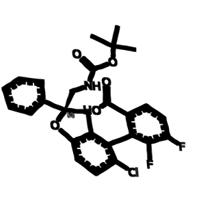 CC(C)(C)OC(=O)NC[C@@]1(c2ccccc2)Cc2c(ccc(Cl)c2-c2c(C(=O)O)ccc(F)c2F)O1